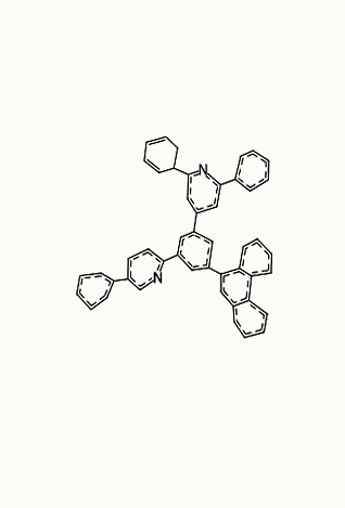 C1=CCC(c2cc(-c3cc(-c4ccc(-c5ccccc5)cn4)cc(-c4cc5ccccc5c5ccccc45)c3)cc(-c3ccccc3)n2)C=C1